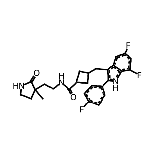 CC1(CCNC(=O)C2CC(Cc3c(-c4ccc(F)cc4)[nH]c4c(F)cc(F)cc34)C2)CCNC1=O